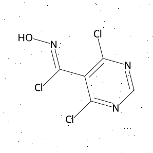 ON=C(Cl)c1c(Cl)ncnc1Cl